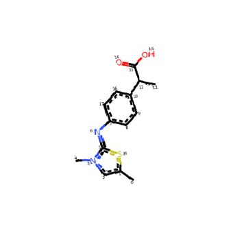 Cc1cn(C)/c(=N/c2ccc(C(C)C(=O)O)cc2)s1